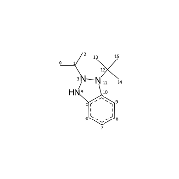 CC(C)N1Nc2ccccc2N1C(C)(C)C